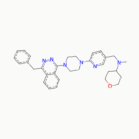 CN(Cc1ccc(N2CCN(c3nnc(Cc4ccccc4)c4ccccc34)CC2)nc1)C1CCOCC1